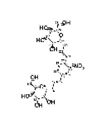 O=[N+]([O-])c1cc(/C=C/C[C@H]2O[C@H](CO)[C@@H](O)[C@H](O)[C@@H]2O)ccc1/C=C/C[C@H]1O[C@H](CO)[C@@H](O)[C@H](O)[C@@H]1O